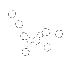 CC1(C)c2ccccc2-c2ccc(-c3ccc4c(c3)c3c5sc6ccc(-c7ccccc7)cc6c5c(-c5ccccc5)cc3n4-c3ccccc3)cc21